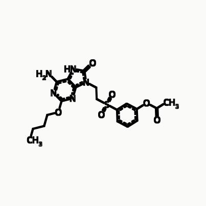 CCCCOc1nc(N)c2[nH]c(=O)n(CCS(=O)(=O)c3cccc(OC(C)=O)c3)c2n1